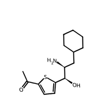 CC(=O)c1ccc([C@H](O)[C@@H](N)CC2CCCCC2)s1